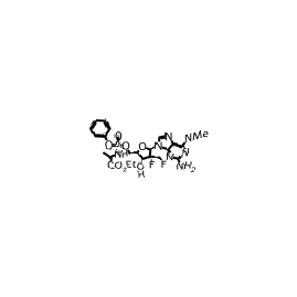 CCOC(=O)C(C)N[P@@](=O)(OCC1O[C@@H](n2cnc3c(NC)nc(N)nc32)[C@@](F)(CF)[C@@H]1O)Oc1ccccc1